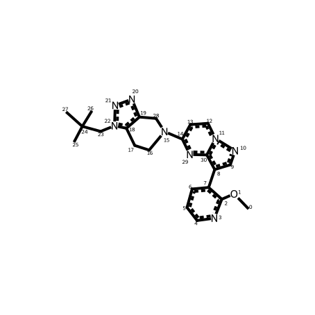 COc1ncccc1-c1cnn2ccc(N3CCc4c(nnn4CC(C)(C)C)C3)nc12